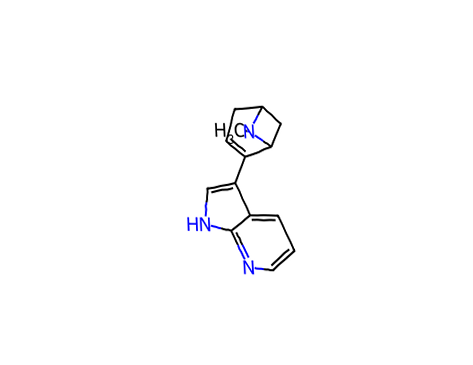 CN1C2CC=C(c3c[nH]c4ncccc34)C1C2